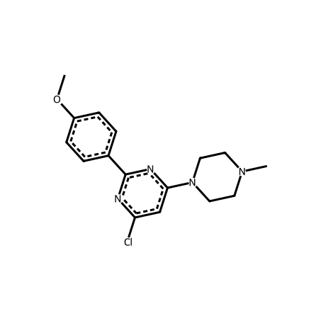 COc1ccc(-c2nc(Cl)cc(N3CCN(C)CC3)n2)cc1